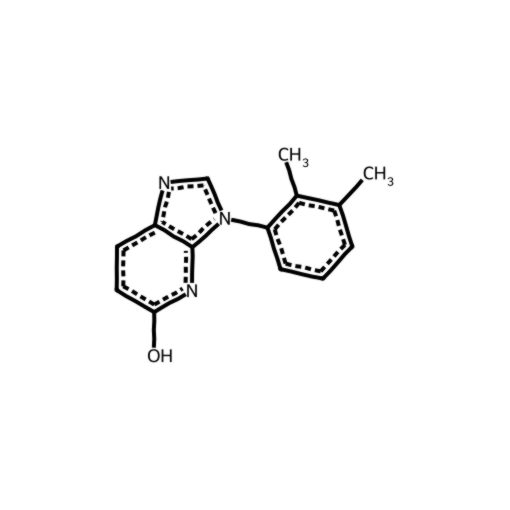 Cc1cccc(-n2cnc3ccc(O)nc32)c1C